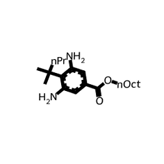 CCCCCCCCOC(=O)c1cc(N)c(C(C)(C)CCC)c(N)c1